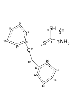 NC(=S)S.[Zn].c1ccc(CCc2ccccc2)cc1